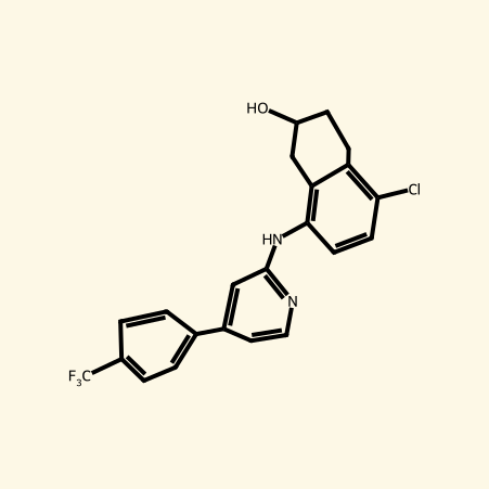 OC1CCc2c(Cl)ccc(Nc3cc(-c4ccc(C(F)(F)F)cc4)ccn3)c2C1